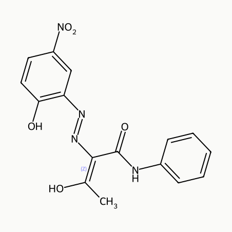 C/C(O)=C(/N=Nc1cc([N+](=O)[O-])ccc1O)C(=O)Nc1ccccc1